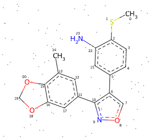 CSc1ccc(-c2conc2-c2cc(C)c3c(c2)OCO3)cc1N